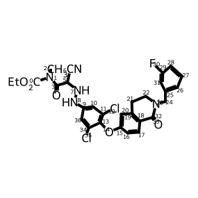 CCOC(=O)N(C)C(=O)C(C#N)NNc1cc(Cl)c(Oc2ccc3c(c2)CCN(Cc2cccc(F)c2)C3=O)c(Cl)c1